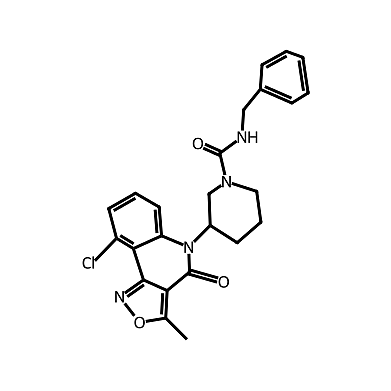 Cc1onc2c1c(=O)n(C1CCCN(C(=O)NCc3ccccc3)C1)c1cccc(Cl)c21